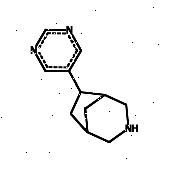 c1ncc(C2CC3CNCC2C3)cn1